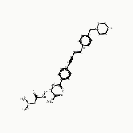 COC(=O)[C@H](CNC(=O)CN(C)C)NC(=O)c1ccc(C#C/C=C/c2ccc(CN3CCOCC3)cc2)cc1